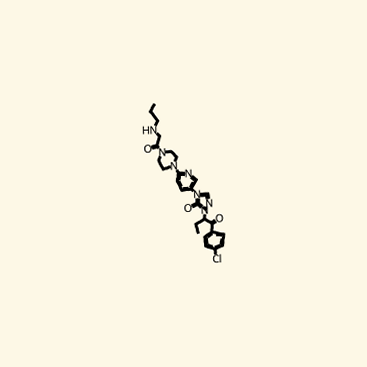 CCCNCC(=O)N1CCN(c2ccc(-n3cnn(C(CC)C(=O)c4ccc(Cl)cc4)c3=O)cn2)CC1